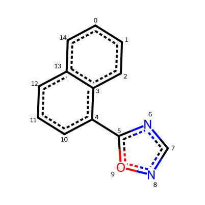 c1ccc2c(-c3ncno3)cccc2c1